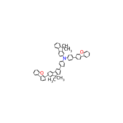 CC1(C)c2ccc(-c3ccc(N(c4ccc(-c5ccc6c(c5)oc5ccccc56)cc4)c4ccc5c(c4)C(C)(C)c4ccccc4-5)cc3)cc2-c2ccc(-c3cccc4c3oc3ccccc34)cc21